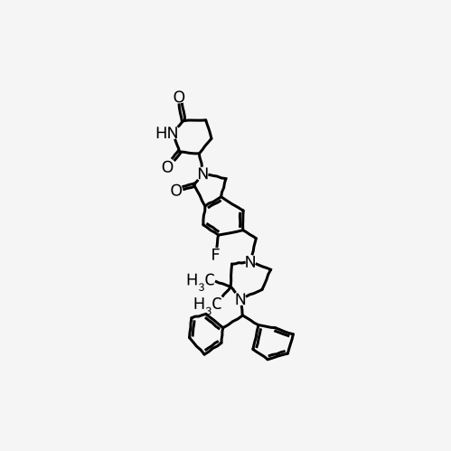 CC1(C)CN(Cc2cc3c(cc2F)C(=O)N(C2CCC(=O)NC2=O)C3)CCN1C(c1ccccc1)c1ccccc1